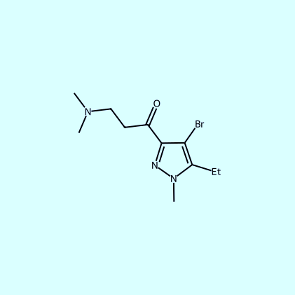 CCc1c(Br)c(C(=O)CCN(C)C)nn1C